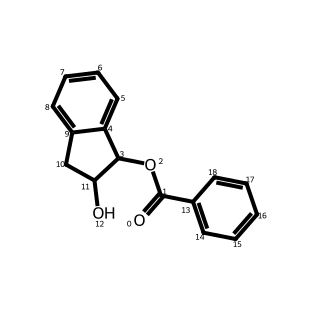 O=C(OC1c2ccccc2CC1O)c1ccccc1